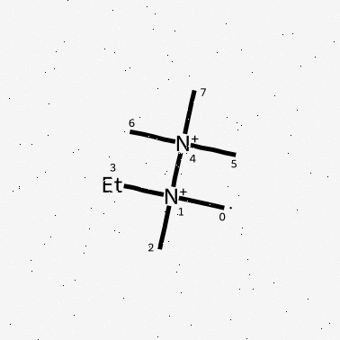 [CH2][N+](C)(CC)[N+](C)(C)C